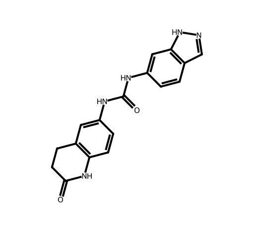 O=C1CCc2cc(NC(=O)Nc3ccc4cn[nH]c4c3)ccc2N1